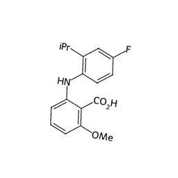 COc1cccc(Nc2ccc(F)cc2C(C)C)c1C(=O)O